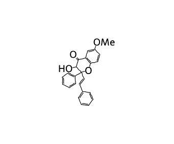 COc1ccc2c(c1)C(=O)C(O)C(C=Cc1ccccc1)(c1ccccc1)O2